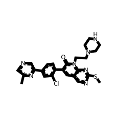 CSc1ncc2cc(-c3ccc(-c4cncc(C)n4)cc3Cl)c(=O)n(CCN3CCNCC3)c2n1